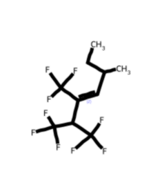 CCC(C)/C=C(/C(C(F)(F)F)C(F)(F)F)C(F)(F)F